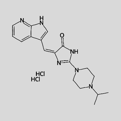 CC(C)N1CCN(C2=NC(=Cc3c[nH]c4ncccc34)C(=O)N2)CC1.Cl.Cl